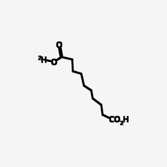 [2H]OC(=O)CCCCCCCCC(=O)O